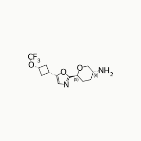 N[C@@H]1CC[C@@H](c2ncc([C@H]3C[C@@H](OC(F)(F)F)C3)o2)OC1